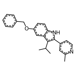 Cc1cc(-c2[nH]c3ccc(OCc4ccccc4)cc3c2C(C)C)ccn1